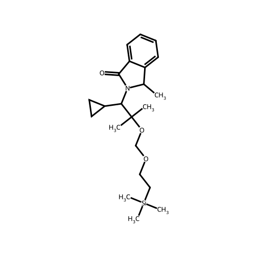 CC1c2ccccc2C(=O)N1C(C1CC1)C(C)(C)OCOCC[Si](C)(C)C